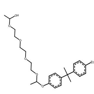 CCc1ccc(C(C)(C)c2ccc(OC(C)OCCOCCOCCOC(C)O)cc2)cc1